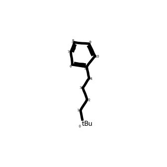 CC(C)(C)CCCCc1cc[c]cc1